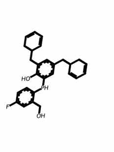 OCc1cc(F)ccc1Pc1cc(CC2C=CC=CC2)cc(CC2C=CC=CC2)c1O